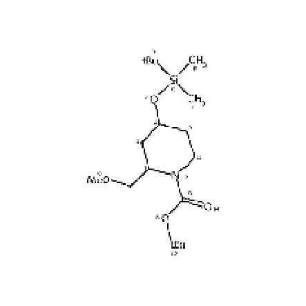 COCC1CC(O[Si](C)(C)C(C)(C)C)CCN1C(=O)OC(C)(C)C